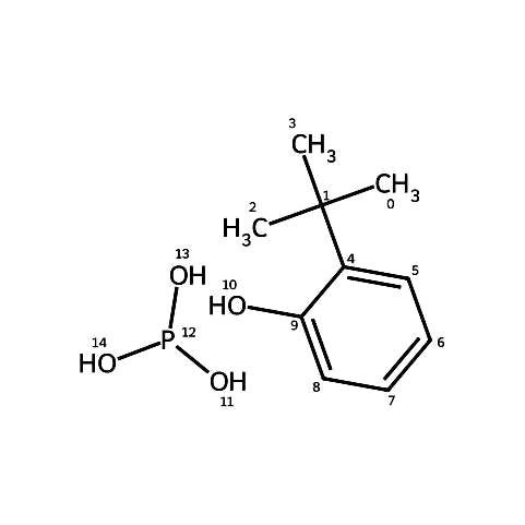 CC(C)(C)c1ccccc1O.OP(O)O